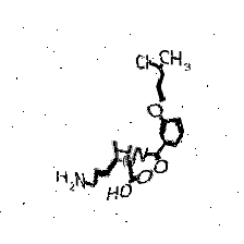 CC(Cl)CCCOc1cccc(C(=O)N[C@@H](CCCCN)C(=O)O)c1